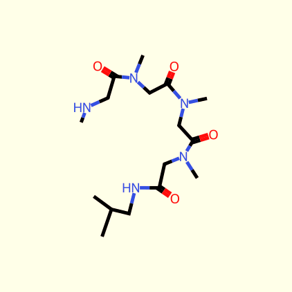 CNCC(=O)N(C)CC(=O)N(C)CC(=O)N(C)CC(=O)NCC(C)C